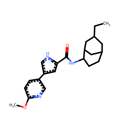 CCC1CC2CCC(NC(=O)c3cc(-c4ccc(OC)nc4)c[nH]3)C(C1)C2